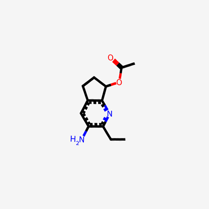 CCc1nc2c(cc1N)CCC2OC(C)=O